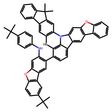 CC(C)(C)c1ccc(Nc2cc3oc4ccc(C(C)(C)C)cc4c3cc2-c2ccc3c4cc5c(cc4n4c3c2Bc2cc3c(cc2-4)C(C)(C)c2ccccc2-3)oc2ccccc25)cc1